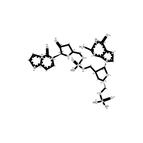 Nc1nc2c(ncn2[C@@H]2O[C@H](COP(=O)(O)S)CC2COP(=O)(S)OCC2CC(=O)[C@H](n3ccc4nccn4c3=O)O2)c(=O)[nH]1